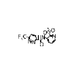 CS(=O)(=O)c1ncccc1NC(=O)c1ccc(C(F)(F)F)nn1